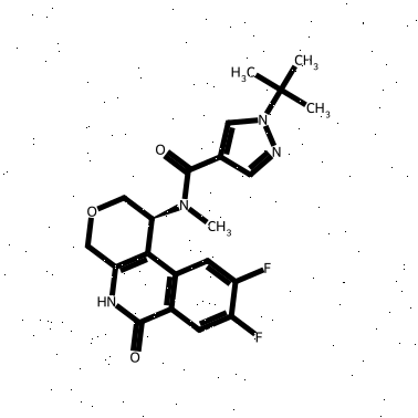 CN(C(=O)c1cnn(C(C)(C)C)c1)[C@@H]1COCc2[nH]c(=O)c3cc(F)c(F)cc3c21